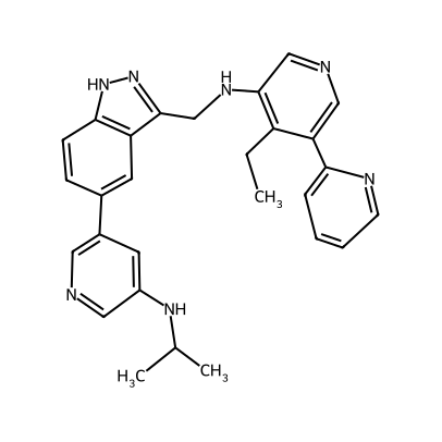 CCc1c(NCc2n[nH]c3ccc(-c4cncc(NC(C)C)c4)cc23)cncc1-c1ccccn1